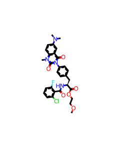 COCCOC(=O)[C@H](Cc1ccc(-n2c(=O)c3cc(N(C)C)ccc3n(C)c2=O)cc1)NC(=O)c1c(F)cccc1Cl